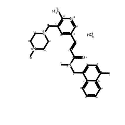 Cc1ccc(CN(C)C(=O)C=Cc2cnc(N)c(CN3CCN(C)CC3)c2)c2ccccc12.Cl